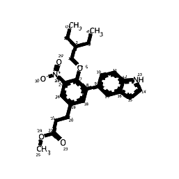 CCC(CC)COc1c(-c2ccc3[nH]ccc3c2)cc(CCC(=O)OC)cc1[N+](=O)[O-]